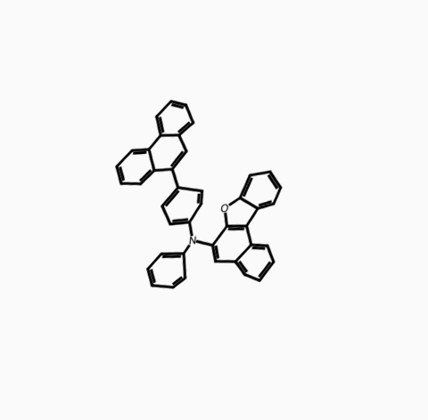 c1ccc(N(c2ccc(-c3cc4ccccc4c4ccccc34)cc2)c2cc3ccccc3c3c2oc2ccccc23)cc1